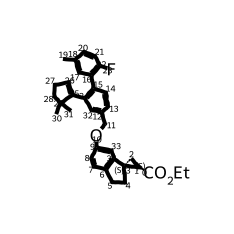 CCOC(=O)[C@H]1C[C@@]12CCc1ccc(OCc3ccc(-c4cc(C)ccc4F)c(C4=CCCC4(C)C)c3)cc12